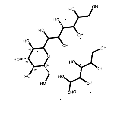 O=CC(O)C(O)C(O)C(O)CO.OCC(O)C(O)C(O)C(O)C(O)C1O[C@H](CO)[C@@H](O)[C@H](O)[C@H]1O